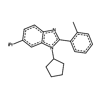 Cc1ccccc1-c1nc2ccc(C(C)C)cc2n1C1CCCC1